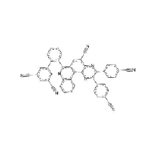 N#Cc1ccc(-c2nc3c(C#N)cc4c(-c5ccccc5-c5cc(C#N)cc(C#N)c5)nc5ccccc5c4c3nc2-c2ccc(C#N)cc2)cc1